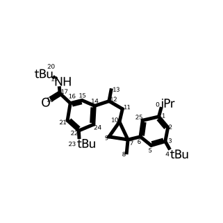 CC(C)c1cc(C(C)(C)C)cc(C2(C)CC2CC(C)c2cc(C(=O)NC(C)(C)C)cc(C(C)(C)C)c2)c1